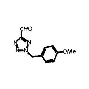 COc1ccc(Cn2nnc(C=O)n2)cc1